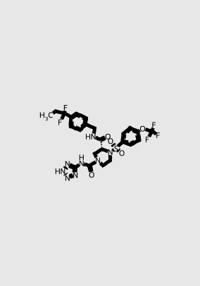 CCC(F)(F)c1ccc(CNC(=O)[C@H]2CN(C(=O)Nc3nn[nH]n3)CCN2S(=O)(=O)c2ccc(OC(F)(F)F)cc2)cc1